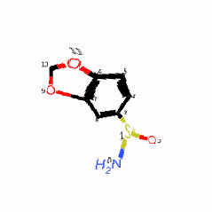 N[S+]([O-])c1ccc2c(c1)OCO2